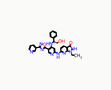 CCn1[nH]c(=O)c2ccc(Nc3cc(N[C@H](CO)c4ccccc4)c(-c4nc(-c5cccnc5)no4)cn3)nc21